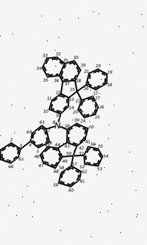 c1ccc(-c2ccc(N(c3ccc4c(c3)C(c3ccccc3)(c3ccccc3)c3ccc5ccccc5c3-4)c3cccc4c3-c3ccccc3C4(c3ccccc3)c3ccccc3)cc2)cc1